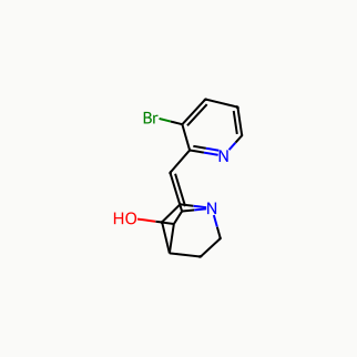 OC1C(=Cc2ncccc2Br)N2CCC1CC2